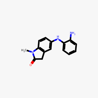 CN1C(=O)Cc2cc(Nc3ccccc3N)ccc21